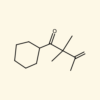 C=C(C)C(C)(C)C(=O)C1CCCCC1